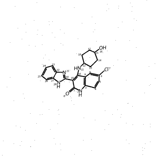 O=c1[nH]c2ccc(Cl)cc2c(NC2CCC(O)CC2)c1-c1nc2ccccc2[nH]1